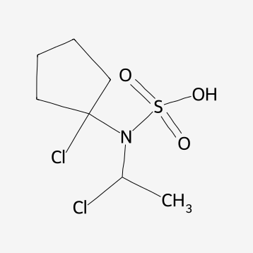 CC(Cl)N(C1(Cl)CCCC1)S(=O)(=O)O